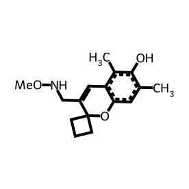 CONCC1=Cc2c(cc(C)c(O)c2C)OC12CCC2